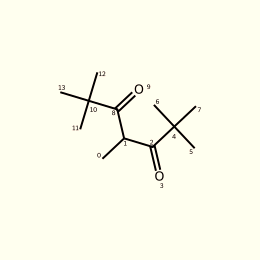 CC(C(=O)C(C)(C)C)C(=O)C(C)(C)C